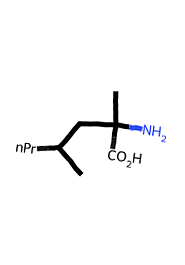 CCCC(C)CC(C)(N)C(=O)O